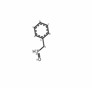 O=[PH2]Cc1ccccc1